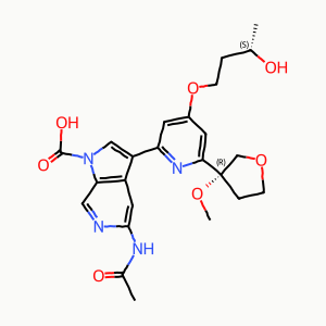 CO[C@@]1(c2cc(OCC[C@H](C)O)cc(-c3cn(C(=O)O)c4cnc(NC(C)=O)cc34)n2)CCOC1